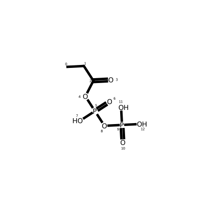 CCC(=O)OP(=O)(O)OP(=O)(O)O